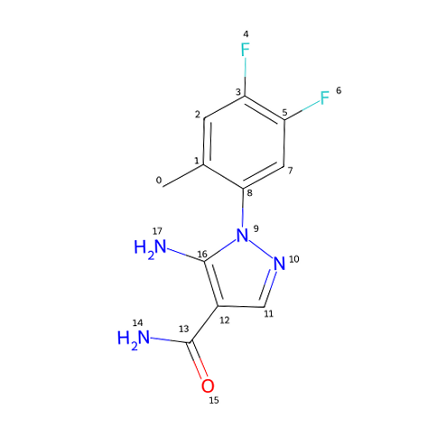 Cc1cc(F)c(F)cc1-n1ncc(C(N)=O)c1N